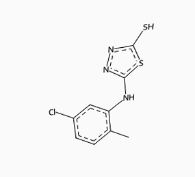 Cc1ccc(Cl)cc1Nc1nnc(S)s1